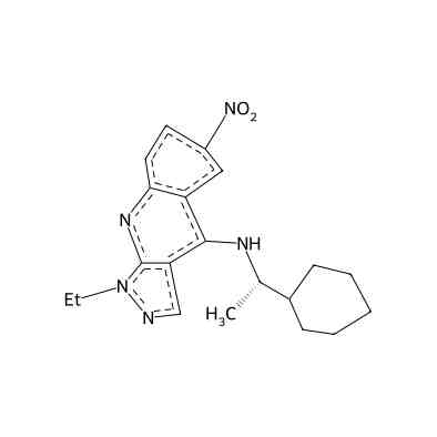 CCn1ncc2c(N[C@@H](C)C3CCCCC3)c3cc([N+](=O)[O-])ccc3nc21